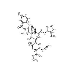 C=CC(=O)N1CCN(C2NC(OC[C@H]3CCCN3C)NC(C[C@]3(C)Cc4ccc(F)cc4C(=O)N3C)C2CC)C[C@H]1CC#N